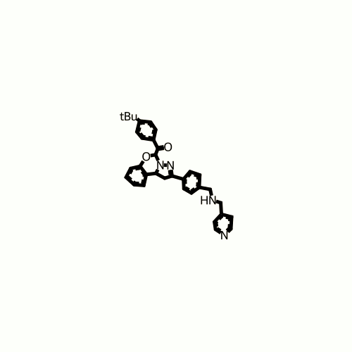 CC(C)(C)c1ccc(C(=O)C2Oc3ccccc3C3CC(c4ccc(CNCc5ccncc5)cc4)=NN23)cc1